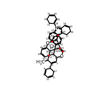 CC1CC2C(C=C1C1C=CC=CC1)Oc1cccc(-c3cccc4c3c3c(n4C4=CC=CCC4)C=CCC3)c1C21c2ccccc2OC2=CC=CC[C@@]21C